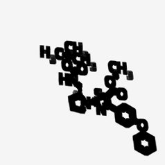 CCOC(=O)c1sc(N2CCC[C@@H]2CNC(=O)OC(C)(C)C)nc1-c1ccc(Oc2ccccc2)cc1